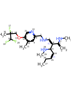 C=C(NC)/C(=C/NCc1cc(C)c(OCC(C)(F)C(F)F)cn1)C(/C=C\CC)NC